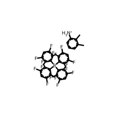 Cc1cccc([NH3+])c1C.Fc1cc(F)c(F)c([B-](c2c(F)c(F)cc(F)c2F)(c2c(F)c(F)cc(F)c2F)c2c(F)c(F)cc(F)c2F)c1F